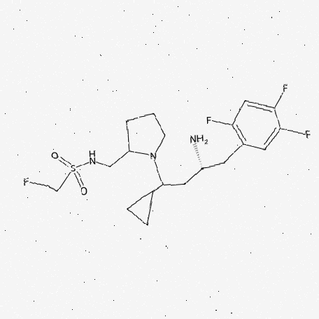 N[C@H](Cc1cc(F)c(F)cc1F)CC(C1CC1)N1CCCC1CNS(=O)(=O)CF